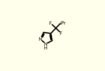 CC(C)C(F)(F)c1cn[nH]c1